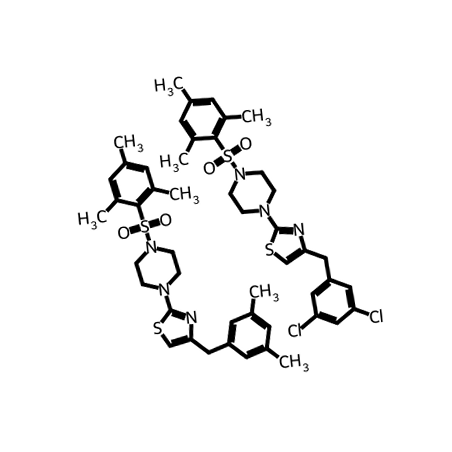 Cc1cc(C)c(S(=O)(=O)N2CCN(c3nc(Cc4cc(Cl)cc(Cl)c4)cs3)CC2)c(C)c1.Cc1cc(C)cc(Cc2csc(N3CCN(S(=O)(=O)c4c(C)cc(C)cc4C)CC3)n2)c1